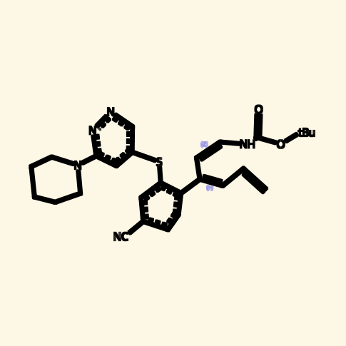 C=C/C=C(\C=C/NC(=O)OC(C)(C)C)c1ccc(C#N)cc1Sc1cnnc(N2CCCCC2)c1